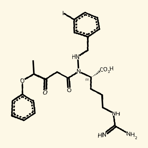 CC(Oc1ccccc1)C(=O)CC(=O)N(NCc1cccc(I)c1)[C@@H](CCCNC(=N)N)C(=O)O